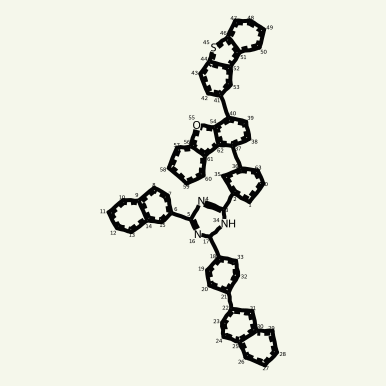 c1cc(C2=NC(c3ccc4ccccc4c3)=NC(c3ccc(-c4ccc5ccccc5c4)cc3)N2)cc(-c2ccc(-c3ccc4sc5ccccc5c4c3)c3oc4ccccc4c23)c1